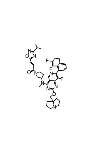 CC(C)c1noc(/C=C/C(=O)N2CC[C@@H](N(C)c3nc(OCC45CCCN4CCC5)nc4c(F)c(-c5cccc6ccc(F)c(F)c56)ncc34)C2)n1